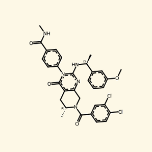 CNC(=O)c1ccc(-n2c(N[C@@H](C)c3cccc(OC)c3)nc3c(c2=O)C[C@@H](C)N(C(=O)c2ccc(Cl)c(Cl)c2)C3)cc1